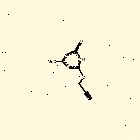 C#CCOc1nc(OC)nc(=O)[nH]1